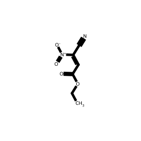 CCOC(=O)C=C(C#N)[N+](=O)[O-]